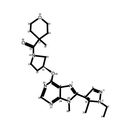 CCn1ncc(-c2nc3c(O[C@H]4CCN(C(=O)C5(C)CCOCC5)C4)ncnc3n2C)c1C